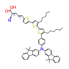 CCCCCCc1cc(-c2sc(-c3ccc(/C=C/C=C(\C#N)C(=O)O)s3)cc2CCCCC)sc1-c1ccc(N(c2ccc3c(c2)C(C)(C)c2ccccc2-3)c2ccc3c(c2)C(C)(C)c2ccccc2-3)cc1